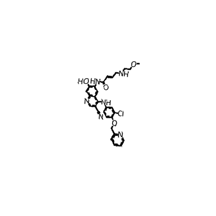 COCCNC/C=C/C(=O)Nc1cc2c(Nc3ccc(OCc4ccccn4)c(Cl)c3)c(C#N)cnc2cc1O